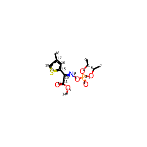 CCOP(=O)(OCC)ON=C(C(=O)OC)c1cc(C)cs1